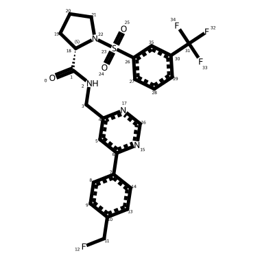 O=C(NCc1cc(-c2ccc(CF)cc2)ncn1)[C@@H]1CCCN1S(=O)(=O)c1cccc(C(F)(F)F)c1